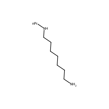 CCCNCCCCCCCN